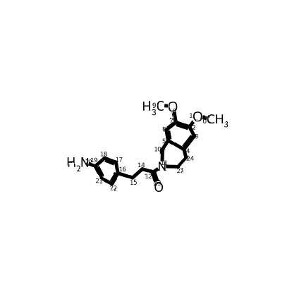 COc1cc2c(cc1OC)CN(C(=O)CCc1ccc(N)cc1)CC2